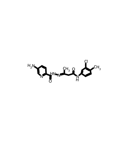 C/C(CC(=O)Nc1ccc(C)c(Cl)c1)=N\NC(=O)c1ccc(N)cn1